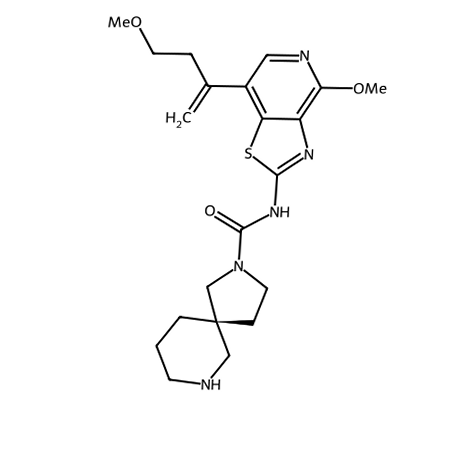 C=C(CCOC)c1cnc(OC)c2nc(NC(=O)N3CC[C@@]4(CCCNC4)C3)sc12